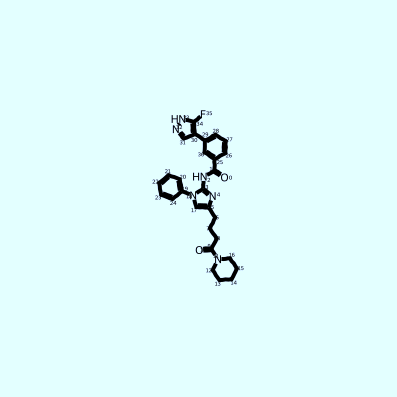 O=C(Nc1nc(CCCC(=O)N2CCCCC2)cn1-c1ccccc1)c1cccc(-c2cn[nH]c2F)c1